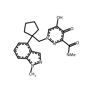 CNC(=O)c1nn(CC2(c3cccc4c3cnn4C)CCCC2)cc(O)c1=O